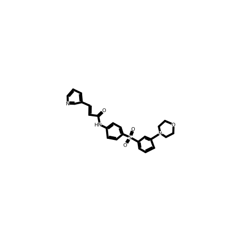 O=C(/C=C/c1cccnc1)Nc1ccc(S(=O)(=O)c2cccc(N3CCOCC3)c2)cc1